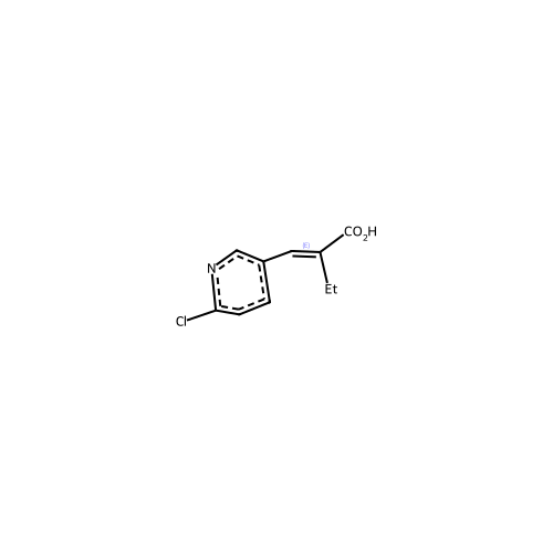 CC/C(=C\c1ccc(Cl)nc1)C(=O)O